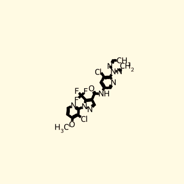 C=NN(/N=C\C)c1ncc(NC(=O)c2cnn(-c3nccc(OC)c3Cl)c2C(F)(F)F)cc1Cl